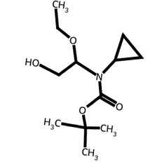 CCOC(CO)N(C(=O)OC(C)(C)C)C1CC1